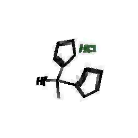 C[C]([Hf])(C1=CC=CC1)C1=CC=CC1.Cl